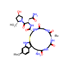 CC[C@H](C)[C@@H]1NC(=O)CNC(=O)[C@H](N)Cc2c([nH]c3cc(OC)ccc23)SC[C@H](C(=O)N[C@@H](CC(N)=O)C(=O)N2C[C@H](O)C[C@H]2C(=O)O)NC(=O)CNC1=O